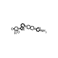 Nc1ccc(N2CCC3(CC2)CCN(c2cccc4c(N5CCC(=O)NC5=O)cnn24)CC3)cn1